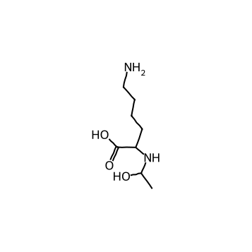 CC(O)NC(CCCCN)C(=O)O